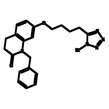 CCn1nnnc1CCCCOc1ccc2c(c1)N(Cc1ccccc1)C(=O)CC2